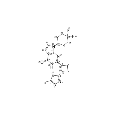 Cc1nnc([C@H]2CC[C@@H]2c2nc3c(cnn3C3CCC(F)(F)CC3)c(=O)[nH]2)s1